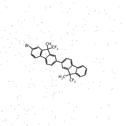 CC1(C(F)(F)F)c2ccccc2-c2ccc(-c3ccc4c(c3)C(C)(C(F)(F)F)c3cc(Br)ccc3-4)cc21